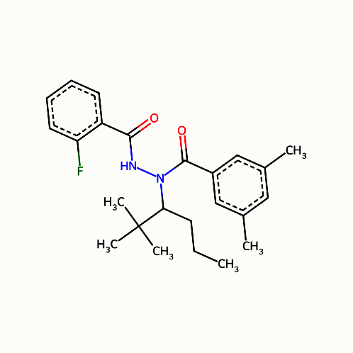 CCCC(N(NC(=O)c1ccccc1F)C(=O)c1cc(C)cc(C)c1)C(C)(C)C